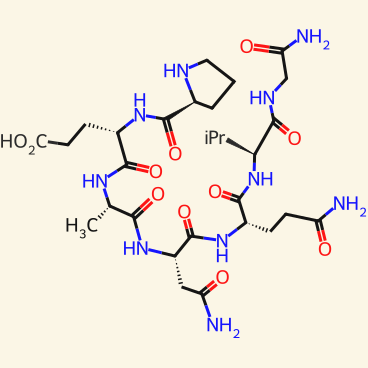 CC(C)[C@H](NC(=O)[C@H](CCC(N)=O)NC(=O)[C@H](CC(N)=O)NC(=O)[C@H](C)NC(=O)[C@H](CCC(=O)O)NC(=O)[C@@H]1CCCN1)C(=O)NCC(N)=O